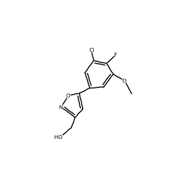 COc1cc(-c2cc(CO)no2)cc(Cl)c1F